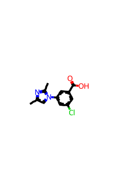 Cc1cn(-c2cc(Cl)cc(C(=O)O)c2)c(C)n1